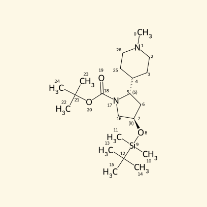 CN1CCC([C@@H]2C[C@@H](O[Si](C)(C)C(C)(C)C)CN2C(=O)OC(C)(C)C)CC1